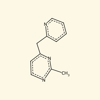 Cc1nccc(Cc2ccccn2)n1